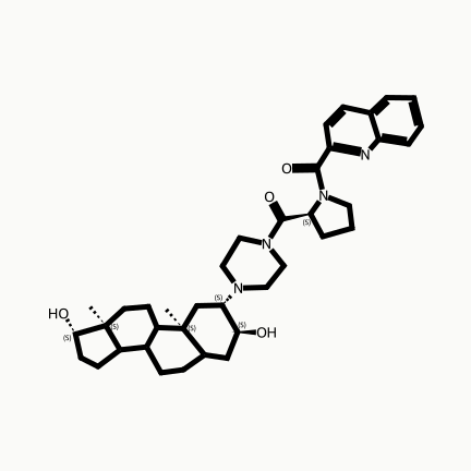 C[C@]12C[C@H](N3CCN(C(=O)[C@@H]4CCCN4C(=O)c4ccc5ccccc5n4)CC3)[C@@H](O)CC1CCC1C2CC[C@@]2(C)C1CC[C@@H]2O